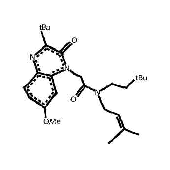 COc1ccc2nc(C(C)(C)C)c(=O)n(CC(=O)N(CC=C(C)C)CCC(C)(C)C)c2c1